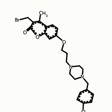 Cc1c(CBr)c(=O)oc2cc(OCCCN3CCN(Cc4ccc(Cl)cc4)CC3)ccc12